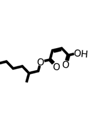 CCCCC(C)COC(=O)/C=C\C(=O)O